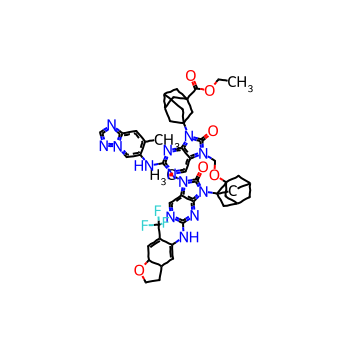 CCOC(=O)C12CC3CC(n4c(=O)n(COC56CC7CC(C5)CC6(n5c(=O)n(C)c6cnc(NC8=CC9CCOC9C=C8C(F)(F)F)nc65)C7)c5cnc(Nc6cn7ncnc7cc6C)nc54)(CC3C1)C2